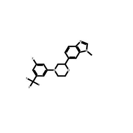 Cn1cnc2ccc(C3CN(c4cc(F)cc(C(F)(F)F)c4)CCO3)cc21